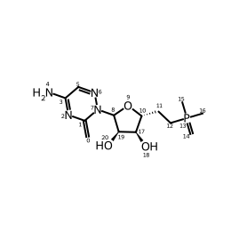 C=C1N=C(N)C=NN1C1O[C@H](CCP(=C)(C)C)[C@@H](O)[C@H]1O